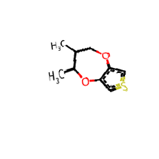 CC1COc2cscc2OC1C